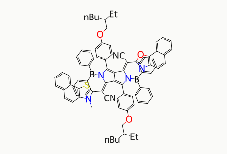 CCCCC(CC)COc1ccc(-c2c3/c(=C(\C#N)C4Sc5c(ccc6ccccc56)N4C)n(B(c4ccccc4)c4ccccc4)c(-c4ccc(OCC(CC)CCCC)cc4)c3/c(=C(\C#N)c3nc4ccc5ccccc5c4o3)n2B(c2ccccc2)c2ccccc2)cc1